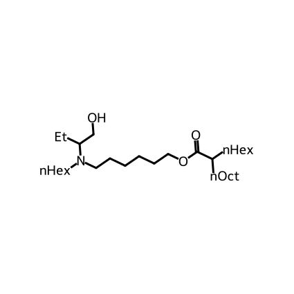 CCCCCCCCC(CCCCCC)C(=O)OCCCCCCN(CCCCCC)C(CC)CO